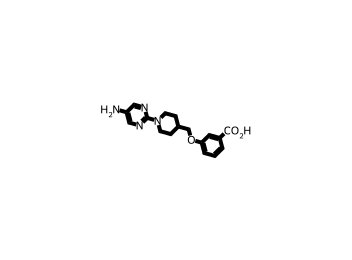 Nc1cnc(N2CCC(COc3cccc(C(=O)O)c3)CC2)nc1